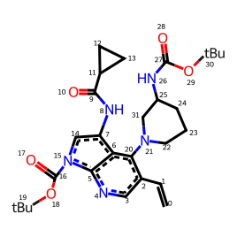 C=Cc1cnc2c(c(NC(=O)C3CC3)cn2C(=O)OC(C)(C)C)c1N1CCCC(NC(=O)OC(C)(C)C)C1